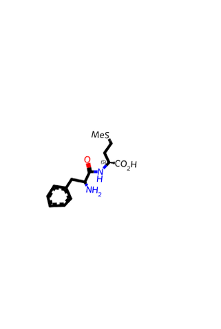 CSCC[C@H](NC(=O)C(N)Cc1ccccc1)C(=O)O